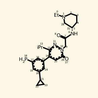 CCN1CCC[C@H](NC(=O)Cn2nc(C(C)C)c(-c3cc(P)cc(C4CC4)c3)cc2=O)C1